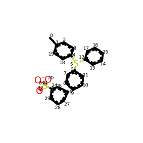 Cc1ccc([S+](c2ccccc2)c2ccccc2)cc1.O=S(=O)([O-])c1ccccc1